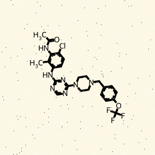 CC(=O)Nc1c(Cl)ccc(Nc2ncnc(N3CCN(Cc4ccc(OC(F)(F)F)cc4)CC3)n2)c1C